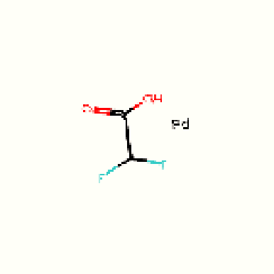 O=C(O)C(F)F.[Pd]